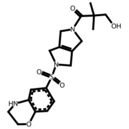 CC(C)(CO)C(=O)N1CC2=C(C1)CN(S(=O)(=O)c1ccc3c(c1)NCCO3)C2